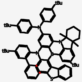 CC(C)(C)c1ccc(N(c2ccc(C(C)(C)C)cc2)c2cc3c4c(c2)N2c5c(cc(C(C)(C)C)cc5C5(C)CCCCC25C)B4c2c(ccc4sc5ccccc5c24)N3c2ccc(C(C)(C)C)cc2-c2ccccc2)cc1